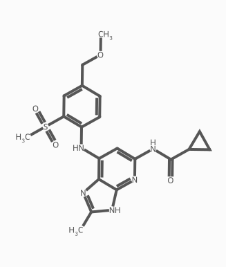 COCc1ccc(Nc2cc(NC(=O)C3CC3)nc3[nH]c(C)nc23)c(S(C)(=O)=O)c1